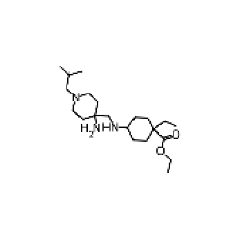 CCOC(=O)C1(CC)CCC(NCC2(N)CCN(C[C](C)C)CC2)CC1